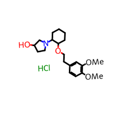 COc1ccc(CCOC2CCCCC2N2CCC(O)C2)cc1OC.Cl